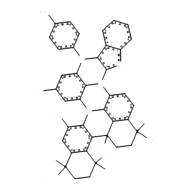 Cc1cc2c(c3c1N1c4cc(C(C)(C)C)cc5c4B(c4ccc6c(c41)C3(C)CCC6(C)C)c1oc3ccccc3c1N5c1ccc(C(C)(C)C)cc1)C(C)(C)CCC2(C)C